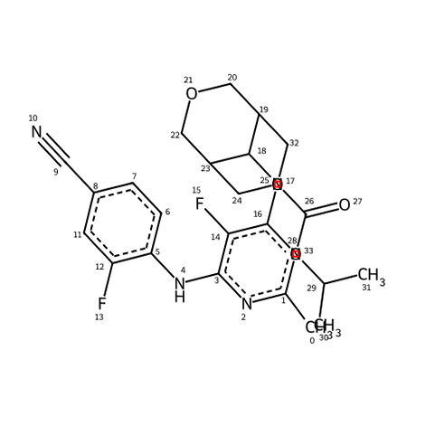 Cc1nc(Nc2ccc(C#N)cc2F)c(F)c(OC2C3COCC2CN(C(=O)OC(C)C)C3)n1